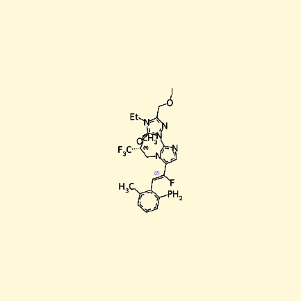 CCn1c(COI)nn(-c2ncc(/C(F)=C/c3c(C)cccc3P)n2C[C@@H](C)C(F)(F)F)c1=O